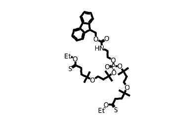 CCOC(=S)CCC(C)(C)OCCC(C)(C)OP(=O)(OCCNC(=O)OCC1c2ccccc2-c2ccccc21)OC(C)(C)CCOC(C)(C)CCC(=S)OCC